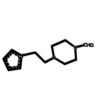 O=CN1CCN(CCn2cccc2)CC1